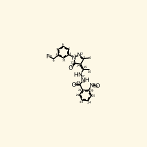 CC1=NN(c2cccc(CF)c2)C(=O)/C1=C(/C)NNC(=O)c1ccccc1N=O